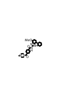 COc1ccc(-c2ccccc2)c2[nH]c(NC(=O)c3ccc(C(=O)N4CCN(C)CC4)cc3)nc12